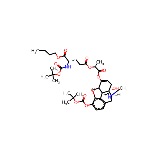 CCCCOC(=O)[C@H](CCC(=O)O[C@@H](C)C(=O)OC1=CC[C@@]2(O)[C@H]3Cc4ccc(OC(=O)OC(C)(C)C)c5c4[C@@]2(CCN3C)[C@H]1O5)NC(=O)OC(C)(C)C